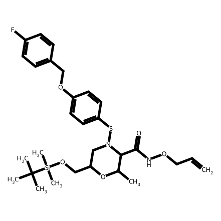 C=CCONC(=O)C1C(C)OC(CO[Si](C)(C)C(C)(C)C)CN1Sc1ccc(OCc2ccc(F)cc2)cc1